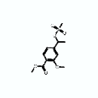 COC(=O)c1ccc(C(C)OS(C)(=O)=O)cc1OC